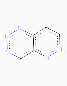 [c]1cnnc2cnnnc12